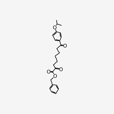 CC(C)Oc1ccc(C(=O)CCCCCC(=O)C(=O)OCc2ccccc2)cc1